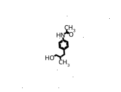 CC(=O)Nc1ccc(CC(C)CO)cc1